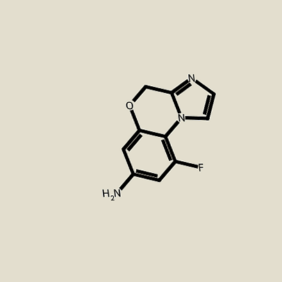 Nc1cc(F)c2c(c1)OCc1nccn1-2